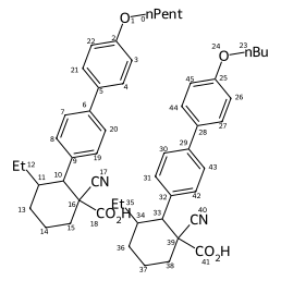 CCCCCOc1ccc(-c2ccc(C3C(CC)CCCC3(C#N)C(=O)O)cc2)cc1.CCCCOc1ccc(-c2ccc(C3C(CC)CCCC3(C#N)C(=O)O)cc2)cc1